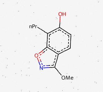 CCCc1c(O)ccc2c(OC)noc12